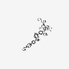 CC1(C)CN(C(=O)CC#N)C[C@@H](F)[C@@H]1Oc1ccc(-c2ncnc(Nc3ccc(N4CCN(C5COC5)CC4)cc3)n2)cc1C#N